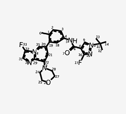 Cc1ccc(NC(=O)c2cn(C(C)(C)C)nc2F)cc1-c1cc(N2CCOCC2)c2ncc(F)n2c1